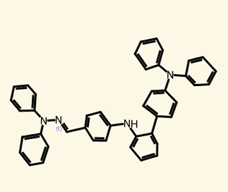 C(=N\N(c1ccccc1)c1ccccc1)/c1ccc(Nc2ccccc2-c2ccc(N(c3ccccc3)c3ccccc3)cc2)cc1